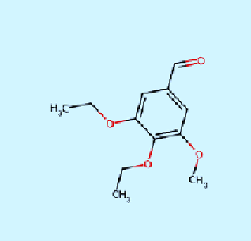 CCOc1cc(C=O)cc(OC)c1OCC